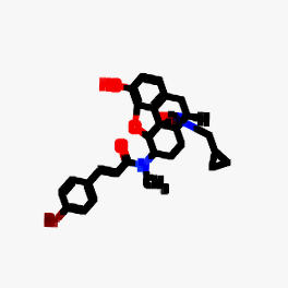 CN(C(=O)/C=C/c1ccc(Br)cc1)C1CC[C@@]2(O)[C@H]3Cc4ccc(O)c5c4[C@@]2(CCN3CC2CC2)C1O5